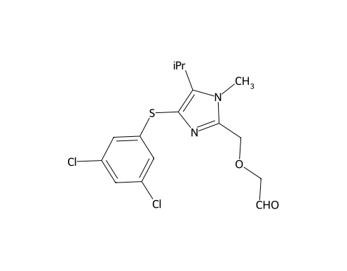 CC(C)c1c(Sc2cc(Cl)cc(Cl)c2)nc(COCC=O)n1C